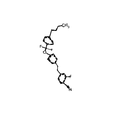 CCCCc1ccc(C(F)(F)Oc2ccc(CCc3ccc(C#N)c(F)c3)cc2)cc1